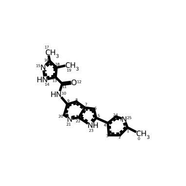 Cc1ccc(-c2cc3cc(NC(=O)c4[nH]nc(C)c4C)cnc3[nH]2)cn1